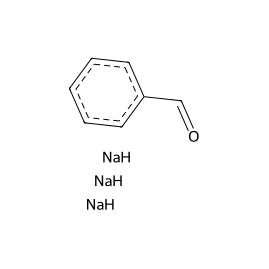 O=Cc1ccccc1.[NaH].[NaH].[NaH]